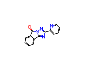 O=C1c2ccccc2-c2nc(-c3ccccn3)nn21